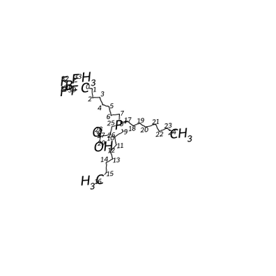 CCCCCCCC[P+](CCCCCCCC)(CCCCCCCC)CCC(=O)O.F[B-](F)(F)F